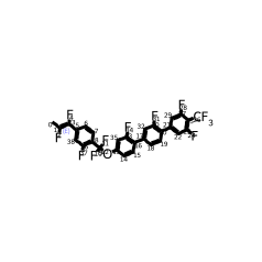 C/C(F)=C(\F)c1ccc(C(F)(F)Oc2ccc(-c3ccc(-c4cc(F)c(C(F)(F)F)c(F)c4)c(F)c3)c(F)c2)c(F)c1